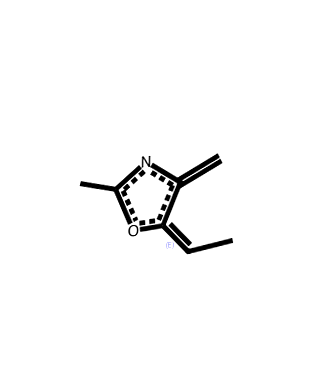 C=c1nc(C)o/c1=C/C